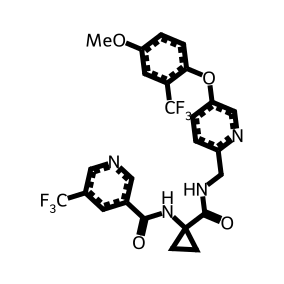 COc1ccc(Oc2ccc(CNC(=O)C3(NC(=O)c4cncc(C(F)(F)F)c4)CC3)nc2)c(C(F)(F)F)c1